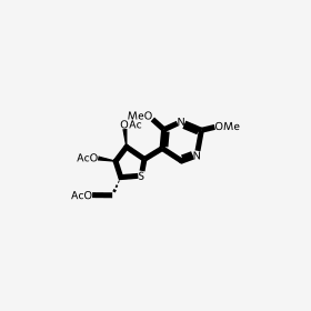 COc1ncc(C2S[C@H](COC(C)=O)[C@@H](OC(C)=O)[C@H]2OC(C)=O)c(OC)n1